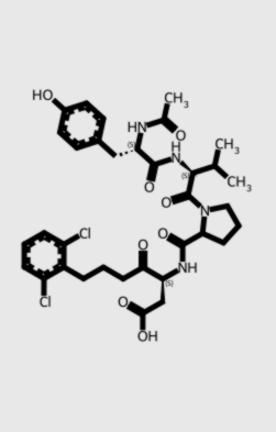 CC(=O)N[C@@H](Cc1ccc(O)cc1)C(=O)N[C@H](C(=O)N1CCCC1C(=O)N[C@@H](CC(=O)O)C(=O)CCCc1c(Cl)cccc1Cl)C(C)C